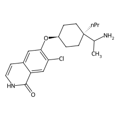 CCC[C@]1(C(C)N)CC[C@@H](Oc2cc3cc[nH]c(=O)c3cc2Cl)CC1